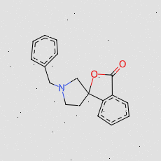 O=C1OC2(CCN(Cc3ccccc3)C2)c2ccccc21